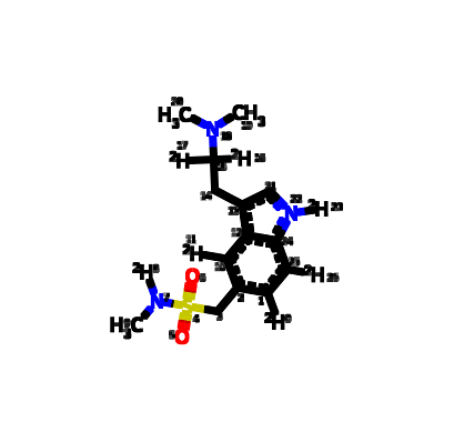 [2H]c1c(CS(=O)(=O)N([2H])C)c([2H])c2c(CC([2H])([2H])N(C)C)cn([2H])c2c1[2H]